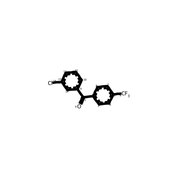 O=C(c1ccc(C(F)(F)F)cc1)c1cccc(Cl)c1